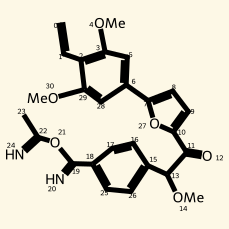 C=Cc1c(OC)cc(-c2ccc(C(=O)C(OC)c3ccc(C(=N)OC(C)=N)cc3)o2)cc1OC